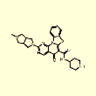 CN1CC2CN(c3ncc4c(=O)c(C(=O)NC5CCNCC5)c5oc6ccccc6n5c4n3)CC2C1